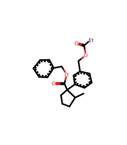 CCC(=O)OCc1cccc(C2(C(=O)OCc3ccccc3)CCCC2C)c1